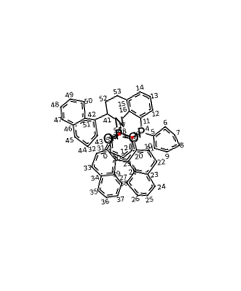 c1ccc(P(c2ccccc2)c2cccc3c2N(p2oc4ccc5ccccc5c4c4c(ccc5ccccc54)o2)C(c2cccc4ccccc24)CC3)cc1